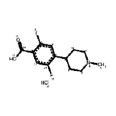 CN1CCC(c2cc(F)c(C(=O)O)cc2F)CC1.Cl